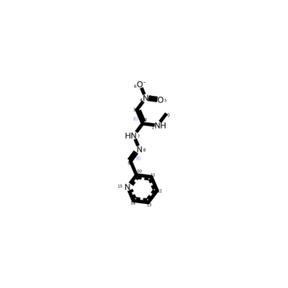 CN/C(=C\[N+](=O)[O-])N/N=C/c1ccccn1